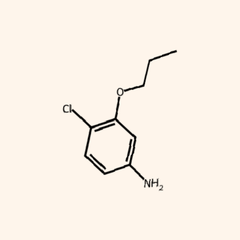 CCCOc1cc(N)ccc1Cl